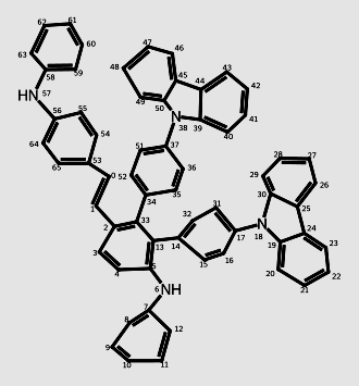 C(=Cc1ccc(Nc2ccccc2)c(-c2ccc(-n3c4ccccc4c4ccccc43)cc2)c1-c1ccc(-n2c3ccccc3c3ccccc32)cc1)c1ccc(Nc2ccccc2)cc1